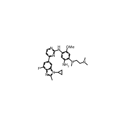 COc1cc(N(C)CCN(C)C)c(N)cc1Nc1nccc(-c2cc(F)c3nc(C)n(C4CC4)c3c2)n1